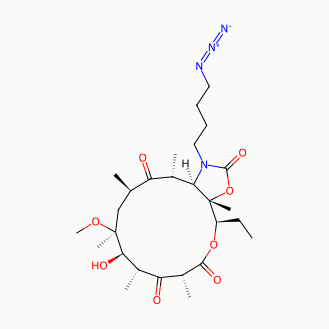 CC[C@H]1OC(=O)[C@H](C)C(=O)[C@H](C)[C@@H](O)[C@@](C)(OC)C[C@@H](C)C(=O)[C@H](C)[C@H]2N(CCCCN=[N+]=[N-])C(=O)O[C@]12C